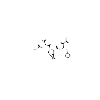 C=C(C)[C@H](NC(=O)NC(C)(C)C)C(=O)N1CC2C([C@H]1C(=O)N[C@@H](CC1CCC1)C(=O)C(N)=O)C2(C)C